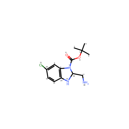 CC(C)(C)OC(=O)N1c2cc(Cl)ccc2NC1CN